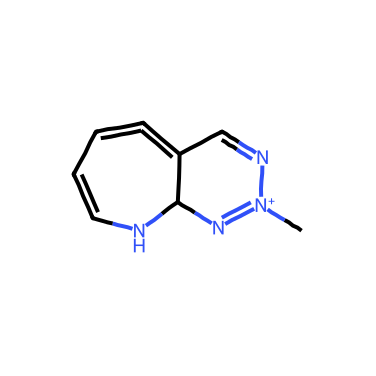 C[N+]1=NC2NC=CC=C=C2C=N1